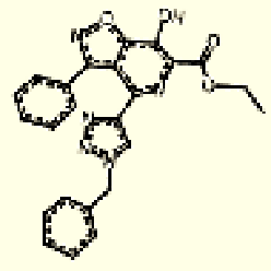 CCOC(=O)c1nc(-c2cn(Cc3ccccc3)nn2)c2c(-c3ccccc3)noc2c1O